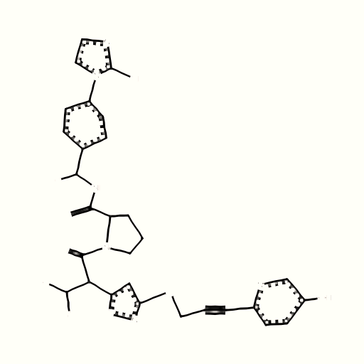 Cc1nccn1-c1ccc(C(C)NC(=O)C2CCCN2C(=O)C(c2cc(OCC#Cc3ccc(O)cn3)no2)C(C)C)cc1